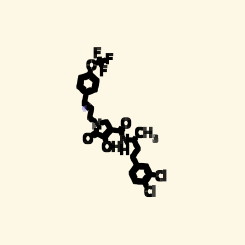 CC(CCc1ccc(Cl)c(Cl)c1)NC(=O)C1=C(O)C(=O)N(C/C=C/c2ccc(OC(F)(F)F)cc2)C1